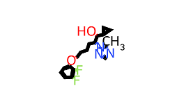 CC1(C(O)C(CCCCOc2cccc(F)c2F)n2cncn2)CC1